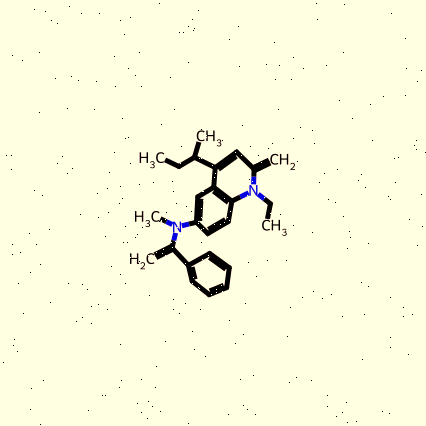 C=C(c1ccccc1)N(C)c1ccc2c(c1)C(C(C)CC)=CC(=C)N2CC